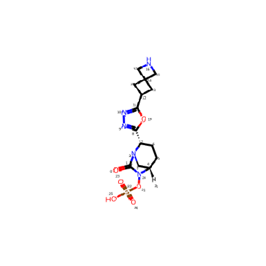 O=C1N2C[C@H](CC[C@H]2c2nnc(C3CC4(CNC4)C3)o2)N1OS(=O)(=O)O